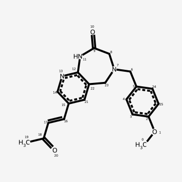 COc1ccc(CN2CC(=O)Nc3ncc(/C=C/C(C)=O)cc3C2)cc1